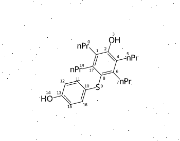 CCCc1c(O)c(CCC)c(CCC)c(Sc2ccc(O)cc2)c1CCC